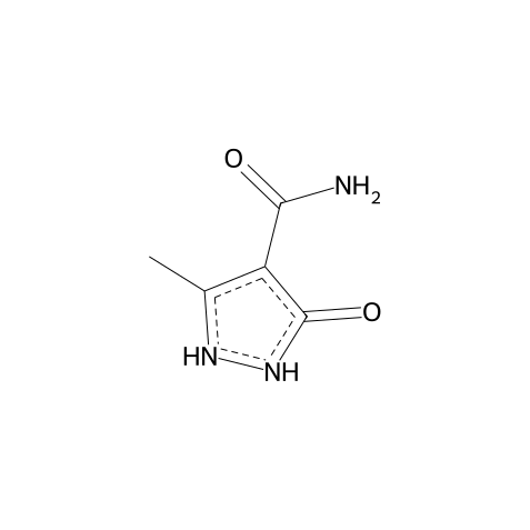 Cc1[nH][nH]c(=O)c1C(N)=O